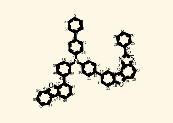 c1ccc(-c2ccc(N(c3ccc(-c4ccc5oc6ccc7sc(-c8ccccc8)nc7c6c5c4)cc3)c3cccc(-c4cccc5c4oc4ccccc45)c3)cc2)cc1